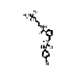 CC(C)(N)CCCCNC(=O)c1cccc(CNC(=O)Nc2ccc(C#N)cc2)c1